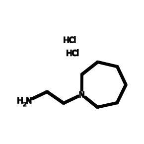 Cl.Cl.NCCN1CCCCCC1